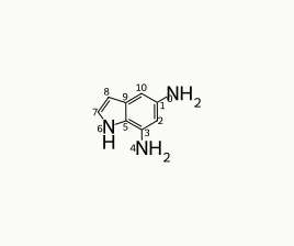 Nc1cc(N)c2[nH]ccc2c1